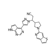 N#CCC(C1CCN(c2cc3sccc3cn2)C1)n1cc(-c2ncnc3[nH]ccc23)cn1